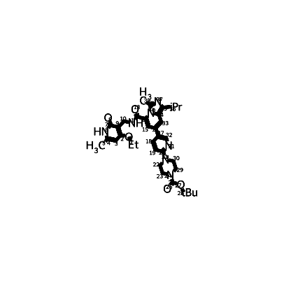 CCOc1cc(C)[nH]c(=O)c1CNC(=O)c1cc(-c2ccc(N3CCN(C(=O)OC(C)(C)C)CC3)nc2)cc2c(C(C)C)nc(C)n12